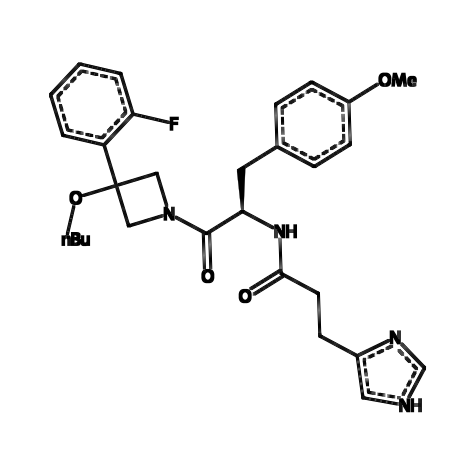 CCCCOC1(c2ccccc2F)CN(C(=O)[C@@H](Cc2ccc(OC)cc2)NC(=O)CCc2c[nH]cn2)C1